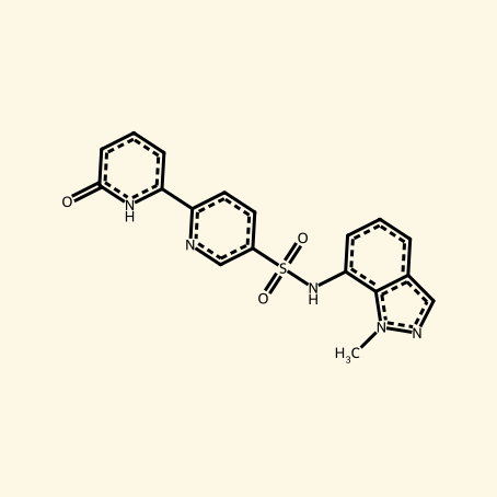 Cn1ncc2cccc(NS(=O)(=O)c3ccc(-c4cccc(=O)[nH]4)nc3)c21